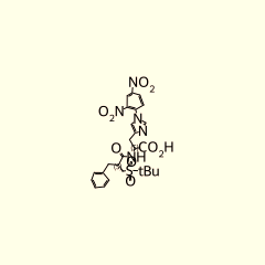 CC(C)(C)S(=O)(=O)C[C@@H](Cc1ccccc1)C(=O)N[C@@H](Cc1cn(-c2ccc([N+](=O)[O-])cc2[N+](=O)[O-])cn1)C(=O)O